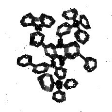 c1ccc(-c2cccc(N3c4cc([Si](c5ccccc5)(c5ccccc5)c5ccccc5)ccc4B4c5cc(-c6ccccc6)ccc5N(c5cccc([Si](c6ccccc6)(c6ccccc6)c6ccccc6)c5)c5cc(-c6cccc(-n7c8ccccc8c8ccccc87)c6)cc3c54)c2)cc1